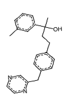 Cc1cccc(C(C)(O)CCc2ccc(Cc3cnccn3)cc2)c1